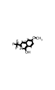 COc1ccc2c(O)nc(C(F)(F)F)cc2c1